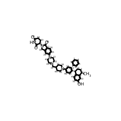 C[C@@H]1C[C@@H](c2ccccc2)[C@@H](c2ccc(N3CCC(CN4CCN(c5ccc6c(c5)CN([C@H]5CCC(=O)NC5=O)C6=O)CC4)CC3)cc2)c2ccc(O)cc21